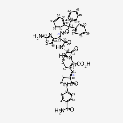 NC(=O)c1ccc(N2CC/C(=C\C3=C(C(=O)O)N4C(=O)[C@@H](NC(=O)/C(=N\OC(c5ccccc5)(c5ccccc5)c5ccccc5)c5csc(N)n5)[C@H]4SC3)C2=O)cc1